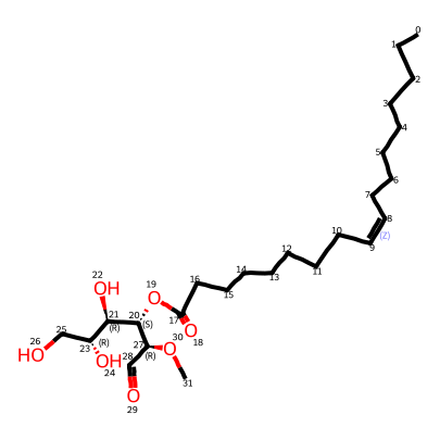 CCCCCCCC/C=C\CCCCCCCC(=O)O[C@@H]([C@H](O)[C@H](O)CO)[C@H](C=O)OC